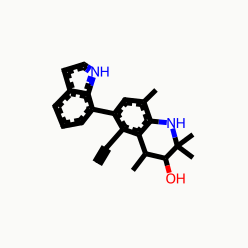 C#Cc1c(-c2cccc3cc[nH]c23)cc(C)c2c1C(C)C(O)C(C)(C)N2